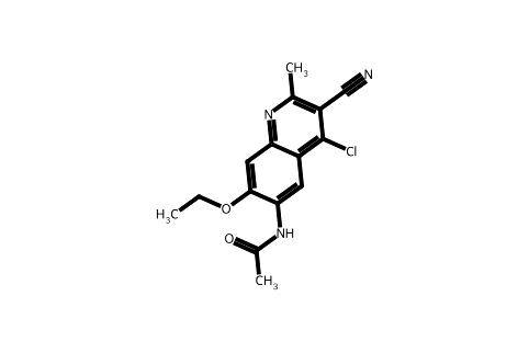 CCOc1cc2nc(C)c(C#N)c(Cl)c2cc1NC(C)=O